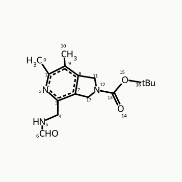 Cc1nc(CNC=O)c2c(c1C)CN(C(=O)OC(C)(C)C)C2